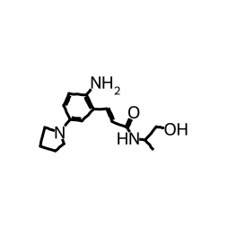 CC(CO)NC(=O)C=Cc1cc(N2CCCC2)ccc1N